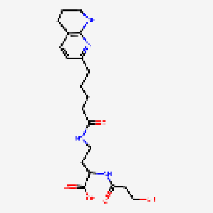 O=C(CCCCc1ccc2c(n1)NCCC2)NCCC(NC(=O)CCO)C(=O)O